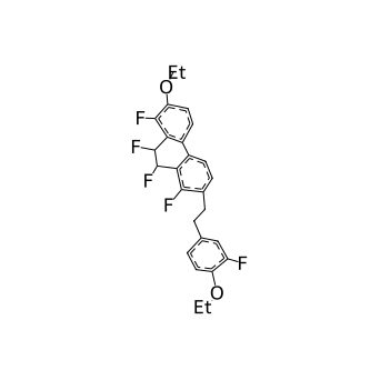 CCOc1ccc(CCc2ccc3c(c2F)C(F)C(F)c2c-3ccc(OCC)c2F)cc1F